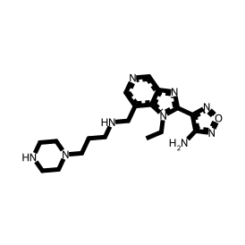 CCn1c(-c2nonc2N)nc2cncc(CNCCCN3CCNCC3)c21